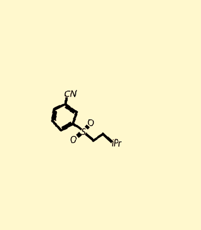 CC(C)CCS(=O)(=O)c1cccc(C#N)c1